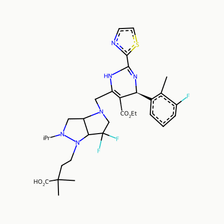 CCOC(=O)C1=C(CN2CC(F)(F)C3C2CN(C(C)C)N3CCC(C)(C)C(=O)O)NC(c2nccs2)=N[C@H]1c1cccc(F)c1C